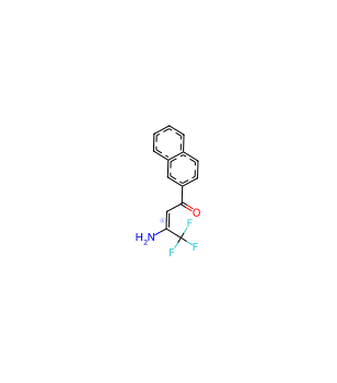 N/C(=C/C(=O)c1ccc2ccccc2c1)C(F)(F)F